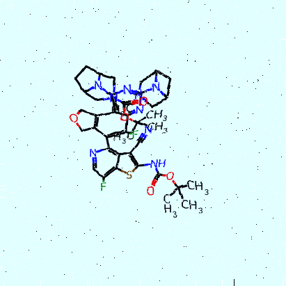 CN1CC2CC(C1)N2c1nc(N2C3CCC2CN(C(=O)OC(C)(C)C)C3)c2c3c(c(-c4ncc(F)c5sc(NC(=O)OC(C)(C)C)c(C#N)c45)c(F)c2n1)COC3